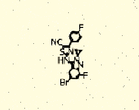 N#Cc1sc(Nc2c3cc(Br)cc(F)c3nn2C2CC2)nc1-c1ccc(F)cc1